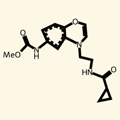 COC(=O)Nc1ccc2c(c1)N(CCNC(=O)C1CC1)C=CO2